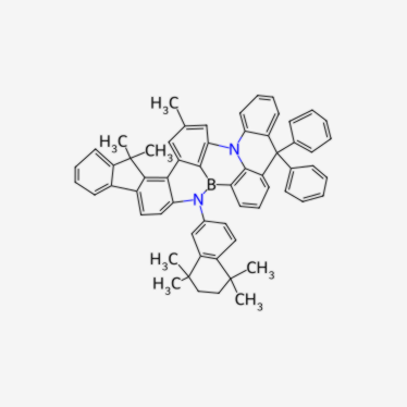 Cc1cc2c3c(c1)N1c4ccccc4C(c4ccccc4)(c4ccccc4)c4cccc(c41)B3N(c1ccc3c(c1)C(C)(C)CCC3(C)C)c1ccc3c(c1-2)C(C)(C)c1ccccc1-3